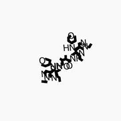 CCc1nc2c(cnn2CC)c(NC2CCOCC2)c1CNC(=O)C(C)C(C)C(=O)NCc1c(CC)nc2c(cnn2CC)c1NC1CCOCC1